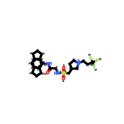 O=C(CNS(=O)(=O)CC1CCN(CCC(F)(F)F)C1)Nc1c2c(cc3c1CCC3)CCC2